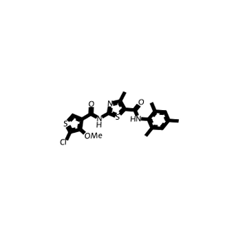 COc1c(C(=O)Nc2nc(C)c(C(=O)Nc3c(C)cc(C)cc3C)s2)csc1Cl